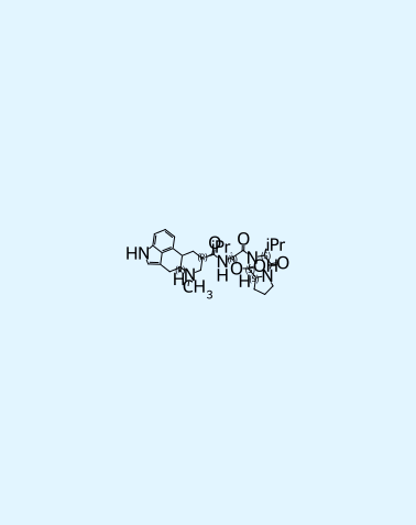 CC(C)[C@H]1C(=O)N2CCC[C@H]2[C@]2(O)O[C@](NC(=O)[C@@H]3CC4c5cccc6[nH]cc(c56)C[C@H]4N(C)C3)(C(C)C)C(=O)N12